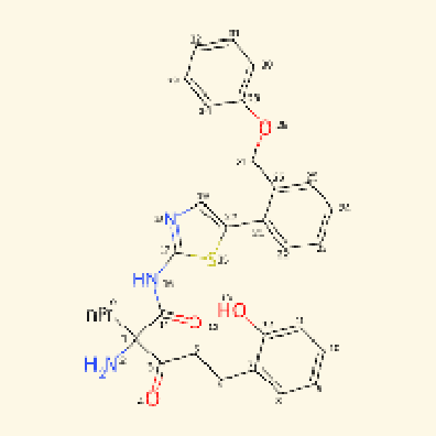 CCCC(N)(C(=O)CCc1ccccc1O)C(=O)Nc1ncc(-c2ccccc2COc2ccccc2)s1